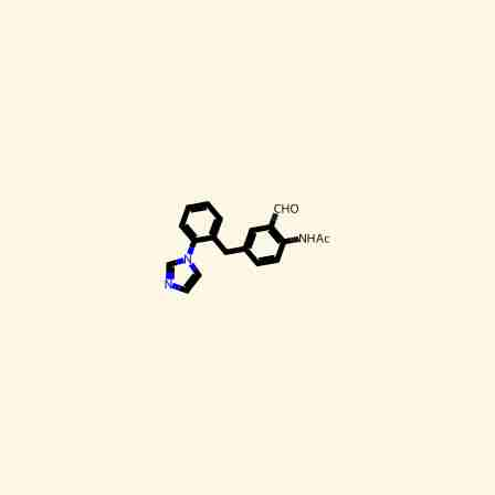 CC(=O)Nc1ccc(Cc2ccccc2-n2ccnc2)cc1C=O